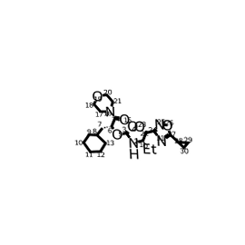 CC[C@H](NC(=O)O[C@H](CC1CCCCC1)C(=O)N1CCOCC1)C(=O)c1noc(C2CC2)n1